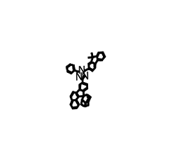 CC1(C)c2ccccc2-c2ccc(-c3nc(-c4ccccc4)nc(-c4ccc5c(c4)-c4ccc6ccccc6c4C54C5CC6CC(C5)CC4C6)n3)cc21